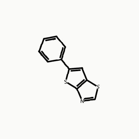 c1ccc(-c2cc3scnc3s2)cc1